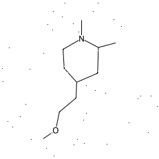 COCCC1CCN(C)C(C)C1